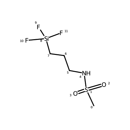 CS(=O)(=O)NCCC[Si](F)(F)F